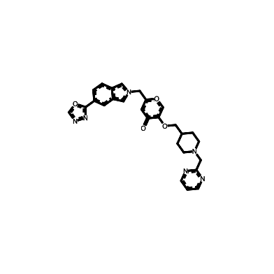 O=c1cc(Cn2cc3ccc(-c4nnco4)cc3c2)occ1OCC1CCN(Cc2ncccn2)CC1